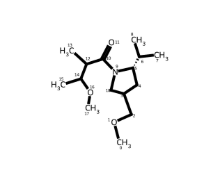 COCC1C[C@@H](C(C)C)N(C(=O)C(C)C(C)OC)C1